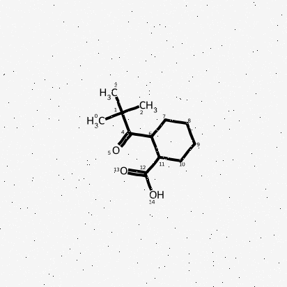 CC(C)(C)C(=O)C1CCCCC1C(=O)O